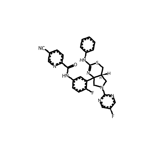 N#Cc1ccc(C(=O)Nc2ccc(F)c(C34CN(c5ncc(F)cn5)C[C@H]3CSC(Nc3ccccc3)=N4)c2)nc1